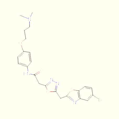 CN(C)CCCOc1ccc(NC(=O)Cc2nnc(Cc3nc4cc(Br)ccc4s3)o2)cc1